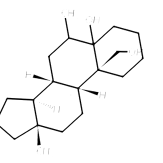 CC1C[C@@H]2[C@@H](CC[C@]3(C)CCC[C@@H]23)[C@@]2(CO)CCCCC12O